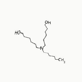 CCCCCCN(CCCCCCO)CCCCCCO